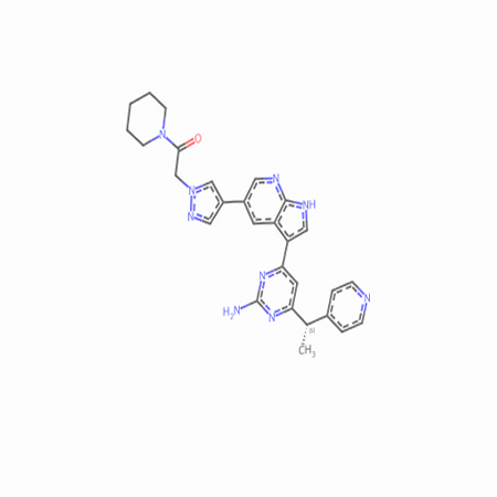 C[C@@H](c1ccncc1)c1cc(-c2c[nH]c3ncc(-c4cnn(CC(=O)N5CCCCC5)c4)cc23)nc(N)n1